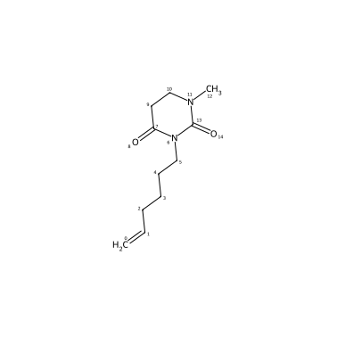 C=CCCCCN1C(=O)CCN(C)C1=O